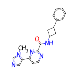 Cn1cncc1-c1ccnc(C(=O)NC2CC(c3ccccc3)C2)n1